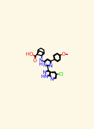 COc1ccc(-c2cc(NC3C4CCC(CC4)C3C(=O)O)nc(-c3n[nH]c4ncc(Cl)cc34)n2)cc1